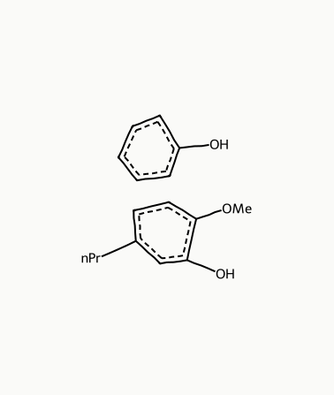 CCCc1ccc(OC)c(O)c1.Oc1ccccc1